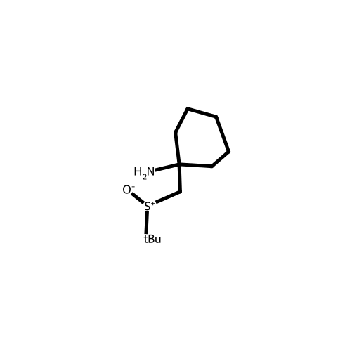 CC(C)(C)[S+]([O-])CC1(N)CCCCC1